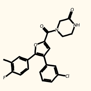 Cc1cc(-c2oc(C(=O)N3CCNC(=O)C3)cc2-c2cccc(Cl)c2)ccc1F